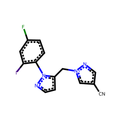 N#Cc1cnn(Cc2ccnn2-c2ccc(F)cc2I)c1